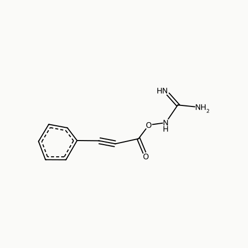 N=C(N)NOC(=O)C#Cc1ccccc1